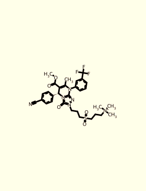 COC(=O)C1=C(C)N(c2cccc(C(F)(F)F)c2)c2nn(CCCS(=O)(=O)CCC[N+](C)(C)C)c(=O)n2[C@@H]1c1ccc(C#N)cc1